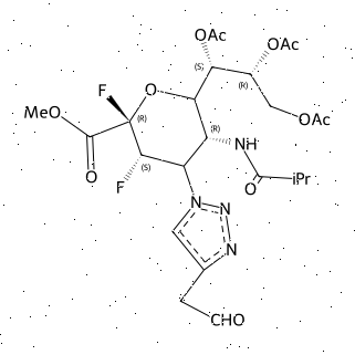 COC(=O)[C@]1(F)OC([C@H](OC(C)=O)[C@@H](COC(C)=O)OC(C)=O)[C@H](NC(=O)C(C)C)C(n2cc(CC=O)nn2)[C@@H]1F